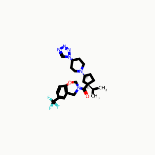 CC(C)[C@]1(C(=O)N2COc3ccc(C(F)(F)F)cc3C2)CC[C@@H](N2CCC(n3cnnn3)CC2)C1